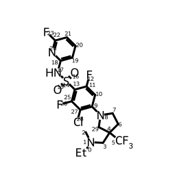 CCN(C)CC1(C(F)(F)F)CCN(c2cc(F)c(S(=O)(=O)Nc3cccc(F)n3)c(F)c2Cl)C1